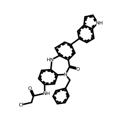 O=C(CCl)Nc1ccc2c(c1)N(Cc1ccccc1)C(=O)c1cc(-c3ccc4[nH]ccc4c3)ccc1N2